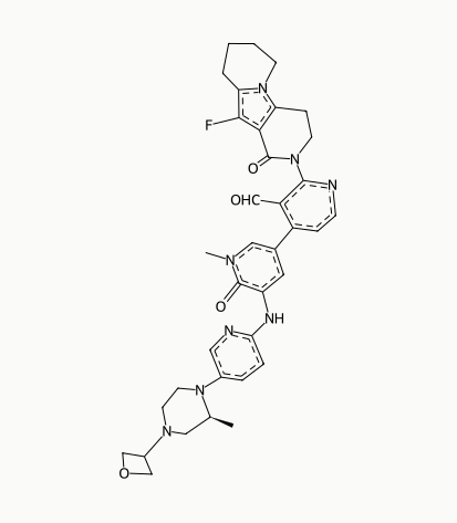 C[C@H]1CN(C2COC2)CCN1c1ccc(Nc2cc(-c3ccnc(N4CCc5c(c(F)c6n5CCCC6)C4=O)c3C=O)cn(C)c2=O)nc1